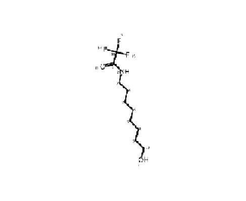 O=C(NCCCCCCCCO)C(F)(F)F